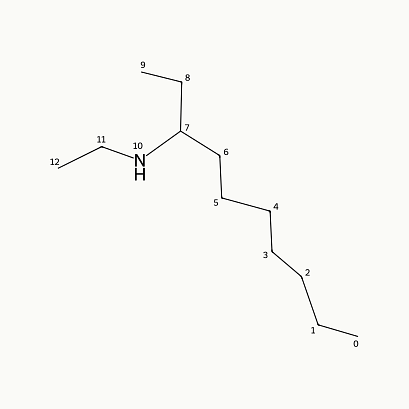 CCCCCCCC(CC)NCC